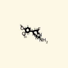 COc1ccc(-c2cc(F)c3nc(N)nn3c2)cc1OC